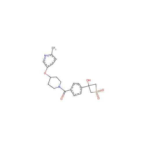 O=C(c1ccc(C2(O)CS(=O)(=O)C2)cc1)N1CCC(Oc2ccc(C(F)(F)F)nc2)CC1